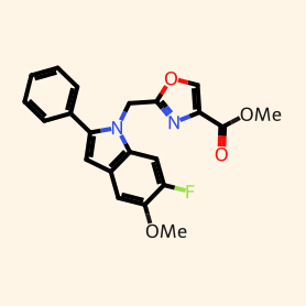 COC(=O)c1coc(Cn2c(-c3ccccc3)cc3cc(OC)c(F)cc32)n1